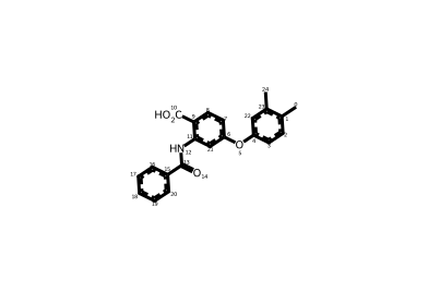 Cc1ccc(Oc2ccc(C(=O)O)c(NC(=O)c3ccccc3)c2)cc1C